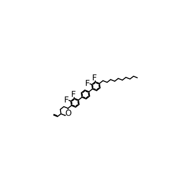 C=CC1CCC(c2ccc(-c3ccc(-c4ccc(CCCCCCCCCC)c(F)c4F)cc3)c(F)c2F)OC1